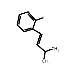 CC(C)/C=C/c1ccccc1I